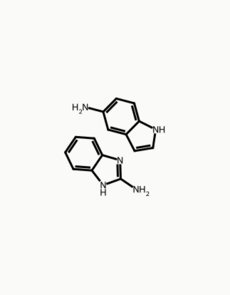 Nc1ccc2[nH]ccc2c1.Nc1nc2ccccc2[nH]1